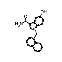 NC(=O)c1cn(Cc2cccc3ccccc23)c2ccc(O)cc12